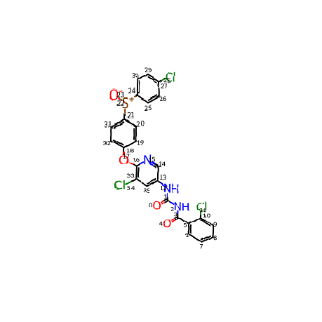 O=C(NC(=O)c1ccccc1Cl)Nc1cnc(Oc2ccc([S+]([O-])c3ccc(Cl)cc3)cc2)c(Cl)c1